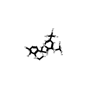 Fc1c(I)ccc2c1OCC[C@@]21CN2C=C(C(F)(F)F)C=C(OC(F)F)C2=N1